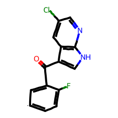 O=C(c1c[c]ccc1F)c1c[nH]c2ncc(Cl)cc12